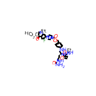 CCNC(=O)C1(C(=O)N[C@@H](CCCNC(N)=O)CNc2ccc(COC(=O)N3CCN(c4cc5c(cc4F)c(=O)c(C(=O)O)cn5CC)CC3)cc2)CCC1